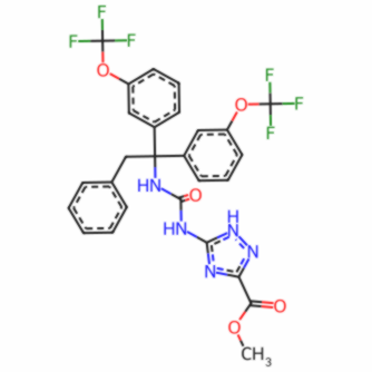 COC(=O)c1n[nH]c(NC(=O)NC(Cc2ccccc2)(c2cccc(OC(F)(F)F)c2)c2cccc(OC(F)(F)F)c2)n1